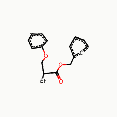 CCC(COc1cc[c]cc1)C(=O)OCc1ccccc1